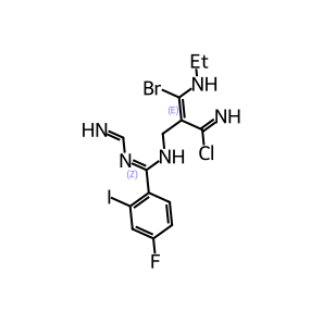 CCN/C(Br)=C(/CN/C(=N\C=N)c1ccc(F)cc1I)C(=N)Cl